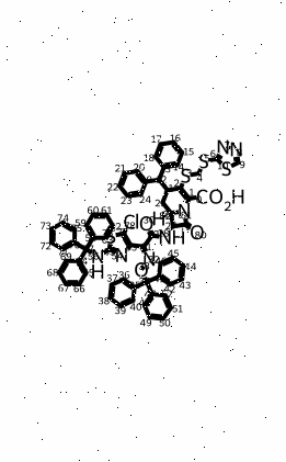 O=C(O)C1=C(SCSc2nncs2)C(C(c2ccccc2)c2ccccc2)C[C@@H]2[C@H](NC(=O)C(=NOC(c3ccccc3)(c3ccccc3)c3ccccc3)c3nc(NC(c4ccccc4)(c4ccccc4)c4ccccc4)sc3Cl)C(=O)N12